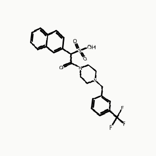 O=C(C(c1ccc2ccccc2c1)S(=O)(=O)O)N1CCN(Cc2cccc(C(F)(F)F)c2)CC1